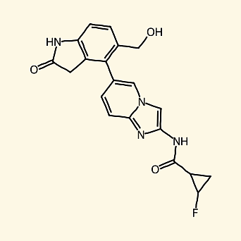 O=C1Cc2c(ccc(CO)c2-c2ccc3nc(NC(=O)C4CC4F)cn3c2)N1